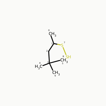 CC(CC(C)(C)C)SS